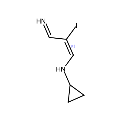 N=C/C(I)=C\NC1CC1